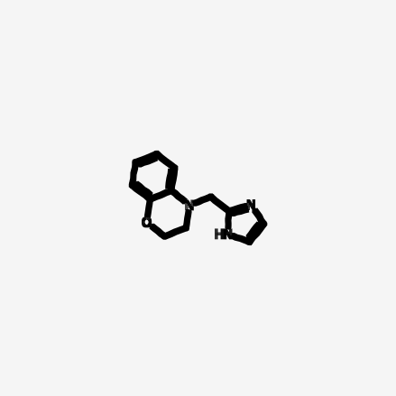 c1ccc2c(c1)OCCN2Cc1ncc[nH]1